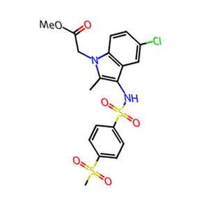 COC(=O)Cn1c(C)c(NS(=O)(=O)c2ccc(S(C)(=O)=O)cc2)c2cc(Cl)ccc21